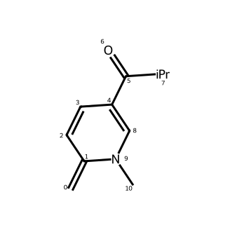 C=C1C=CC(C(=O)C(C)C)=CN1C